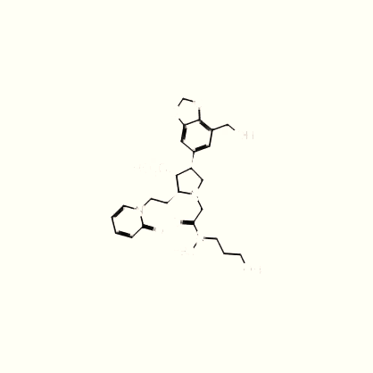 CCCCN(CCCO)C(=O)CN1C[C@H](c2cc(CO)c3c(c2)OCO3)[C@@H](C(=O)O)[C@@H]1CCn1ccccc1=O